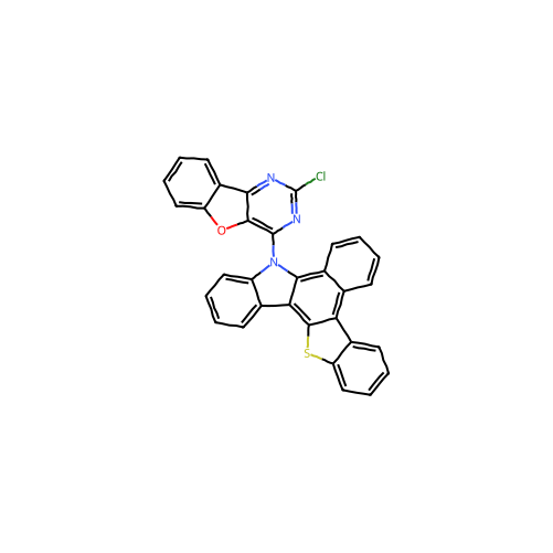 Clc1nc(-n2c3ccccc3c3c4sc5ccccc5c4c4ccccc4c32)c2oc3ccccc3c2n1